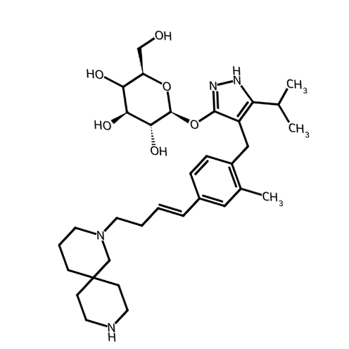 Cc1cc(/C=C/CCN2CCCC3(CCNCC3)C2)ccc1Cc1c(O[C@@H]2O[C@H](CO)C(O)[C@H](O)[C@H]2O)n[nH]c1C(C)C